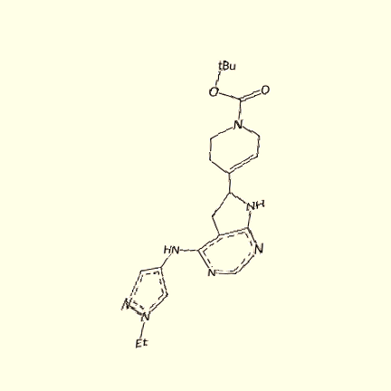 CCn1cc(Nc2ncnc3c2CC(C2=CCN(C(=O)OC(C)(C)C)CC2)N3)cn1